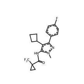 Cn1nc(-c2ccc(F)cc2)c(C2CCC2)c1NC(=O)C1(C(F)(F)F)CC1